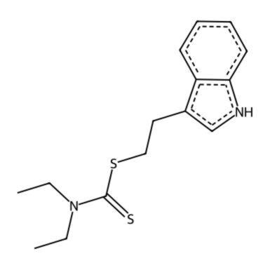 CCN(CC)C(=S)SCCc1c[nH]c2ccccc12